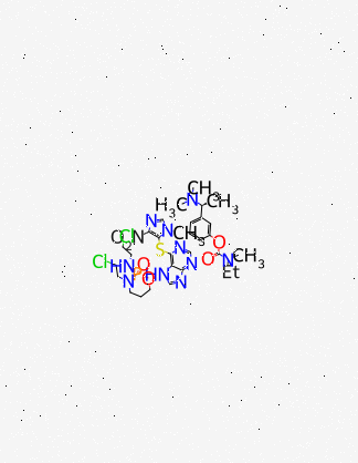 CCN(C)C(=O)Oc1cccc([C@H](C)N(C)C)c1.Cn1cnc([N+](=O)[O-])c1Sc1ncnc2nc[nH]c12.O=P1(NCCCl)OCCCN1CCCl